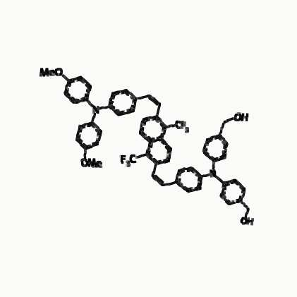 COc1ccc(N(c2ccc(/C=C\c3ccc4c(C(F)(F)F)c(/C=C\c5ccc(N(c6ccc(CO)cc6)c6ccc(CO)cc6)cc5)ccc4c3C(F)(F)F)cc2)c2ccc(OC)cc2)cc1